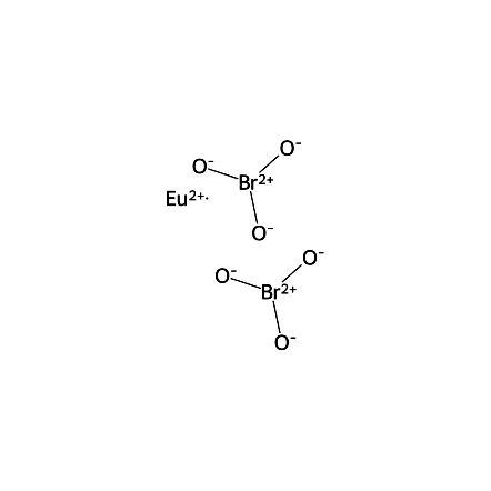 [Eu+2].[O-][Br+2]([O-])[O-].[O-][Br+2]([O-])[O-]